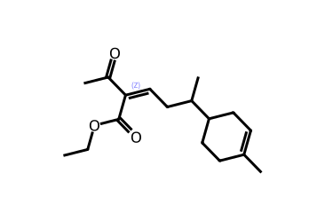 CCOC(=O)/C(=C\CC(C)C1CC=C(C)CC1)C(C)=O